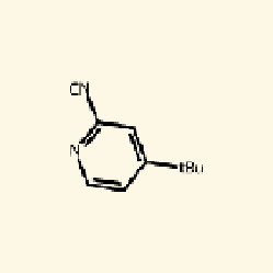 [C-]#[N+]c1cc(C(C)(C)C)ccn1